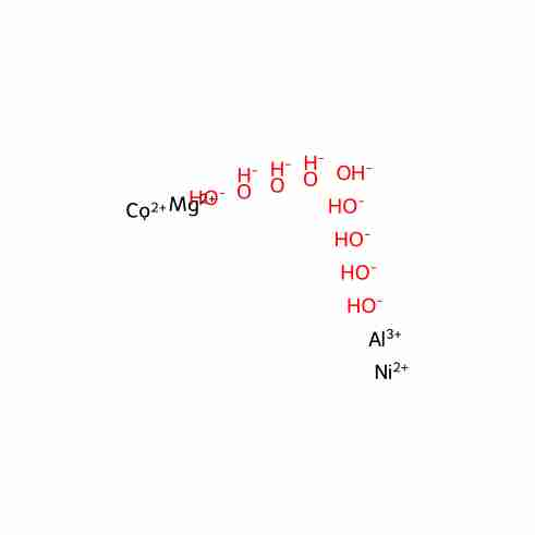 [Al+3].[Co+2].[Mg+2].[Ni+2].[OH-].[OH-].[OH-].[OH-].[OH-].[OH-].[OH-].[OH-].[OH-]